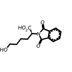 O=C(O)[C@H](CCCCO)N1C(=O)c2ccccc2C1=O